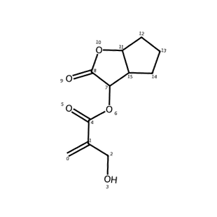 C=C(CO)C(=O)OC1C(=O)OC2CCCC21